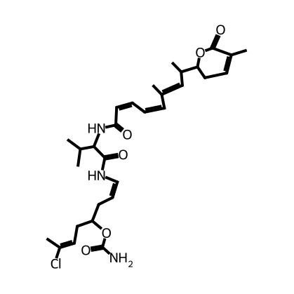 CC1=CCC(C(C)/C=C(C)/C=C\C=C/C(=O)NC(C(=O)N/C=C\CC(C/C=C(\C)Cl)OC(N)=O)C(C)C)OC1=O